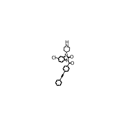 O=C(c1ccc(C#Cc2ccccc2)cc1)n1c(=O)n(C2CCNCC2)c2cc(Cl)ccc21